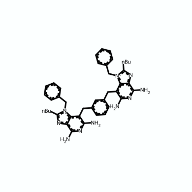 CCCCc1nc2c(N)nc(N)c(Cc3cccc(Cc4c(N)nc(N)c5nc(CCCC)n(Cc6ccccc6)c45)c3)c2n1Cc1ccccc1